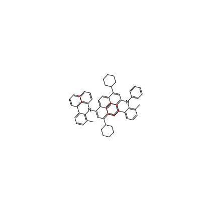 Cc1cccc(-c2ccccc2)c1N(c1ccccc1)c1cc(C2CCCCC2)c2ccc3c(N(c4ccccc4)c4c(C)cccc4-c4ccccc4)cc(C4CCCCC4)c4ccc1c2c43